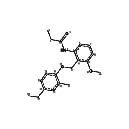 CCC(=O)Nc1cccc(OC)c1COc1ccc(CC)cc1C